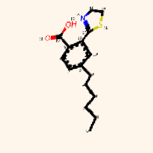 CCCCCCc1ccc(C(=O)O)c(C2=NCCS2)c1